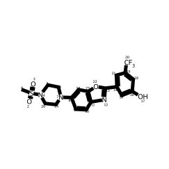 CS(=O)(=O)N1CCN(c2ccc3nc(-c4cc(O)cc(C(F)(F)F)c4)oc3c2)CC1